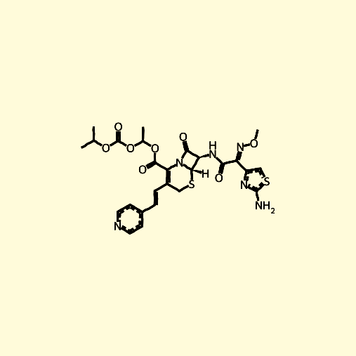 CON=C(C(=O)N[C@@H]1C(=O)N2C(C(=O)OC(C)OC(=O)OC(C)C)=C(/C=C/c3ccncc3)CS[C@@H]12)c1csc(N)n1